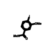 CNC(=O)c1ccc(I)c(OC)c1